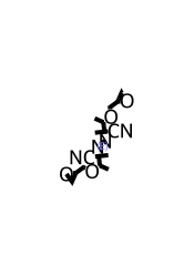 CC(OCC1CO1)C(C)(C#N)/N=N/C(C)(C#N)C(C)OCC1CO1